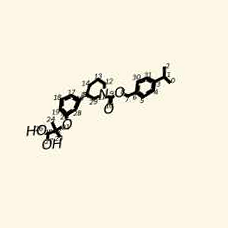 CC(C)c1ccc(COC(=O)N2CCC[C@@H](c3cccc(OC(C)(C)C(O)O)c3)C2)cc1